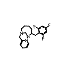 Fc1cc(F)c(CC2CCCCN3CC4=CCC=CN4N2C3)c(F)c1